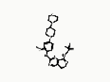 COc1cc(N2CCC(N3CCOCC3)CC2)ccc1Nc1ncc2c(n1)C(NCC(C)(C)C)=NCC2